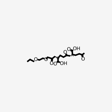 CCCOCCOCC(=O)C[C@@H](CCC(=O)C[C@@H](CCC(C)=O)C(=O)O)C(=O)O